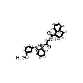 COc1cccc(Sc2ccccc2NC(=O)CNC(=O)c2cccc3ccccc23)c1